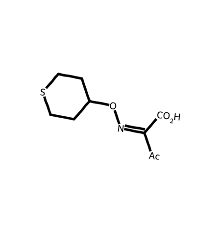 CC(=O)C(=NOC1CCSCC1)C(=O)O